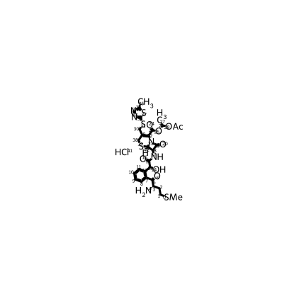 CSCC[C@H](N)C(=O)c1ccccc1C(O)C(=O)NC1C(=O)N2C(C(=O)OC(C)OC(C)=O)=C(CSc3nnc(C)s3)CS[C@@H]12.Cl